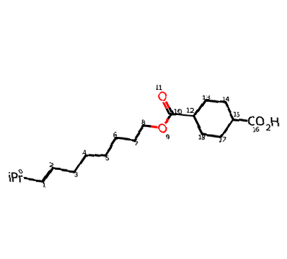 CC(C)CCCCCCCCOC(=O)C1CCC(C(=O)O)CC1